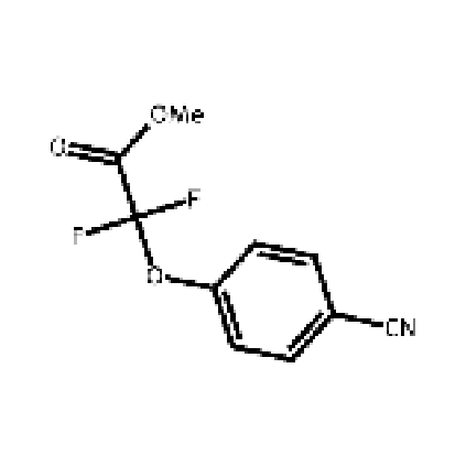 COC(=O)C(F)(F)Oc1ccc(C#N)cc1